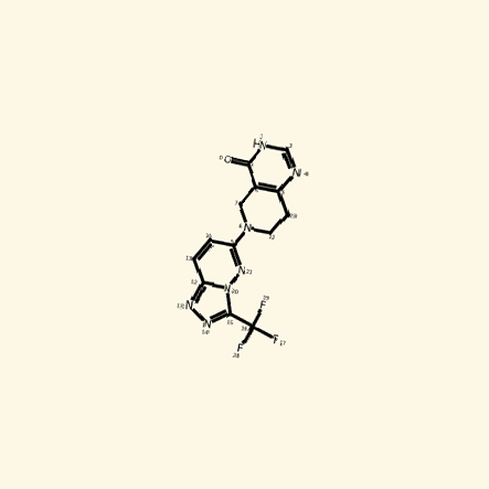 O=c1[nH]cnc2c1CN(c1ccc3nnc(C(F)(F)F)n3n1)CC2